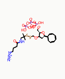 CC(C)(CNC(=O)CCCN=[N+]=[N-])SSCOC1C[C@H](C2=C/C=C\C=C/C=C\2)O[C@@H]1COP(=O)(O)OP(=O)(O)OP(=O)(O)O